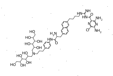 N=C(NCCCCc1ccc2cc(CC(N)C(=O)Nc3ccc(CCCN(CC(O)C(O)C(O)C(O)CO)CC(O)C(O)C(O)C(O)CO)cc3)ccc2c1)NC(=O)c1nc(Cl)c(N)nc1N